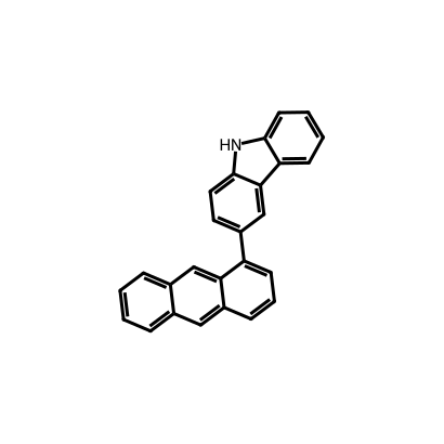 c1ccc2cc3c(-c4ccc5[nH]c6ccccc6c5c4)cccc3cc2c1